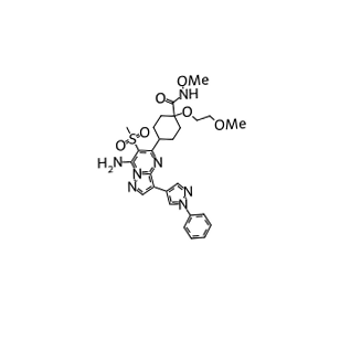 COCCOC1(C(=O)NOC)CCC(c2nc3c(-c4cnn(-c5ccccc5)c4)cnn3c(N)c2S(C)(=O)=O)CC1